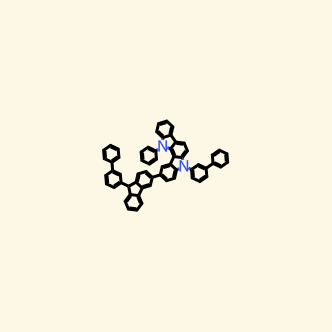 c1ccc(-c2cccc(C3c4ccccc4-c4cc(-c5ccc6c(c5)c5c(ccc7c8ccccc8n(-c8ccccc8)c75)n6-c5cccc(-c6ccccc6)c5)ccc43)c2)cc1